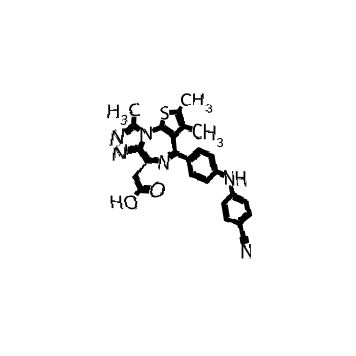 Cc1sc2c(c1C)C(c1ccc(Nc3ccc(C#N)cc3)cc1)=N[C@@H](CC(=O)O)c1nnc(C)n1-2